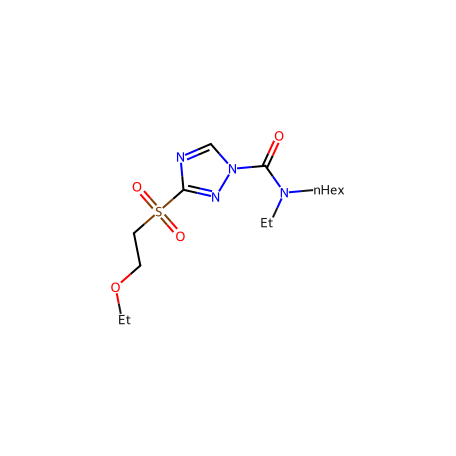 CCCCCCN(CC)C(=O)n1cnc(S(=O)(=O)CCOCC)n1